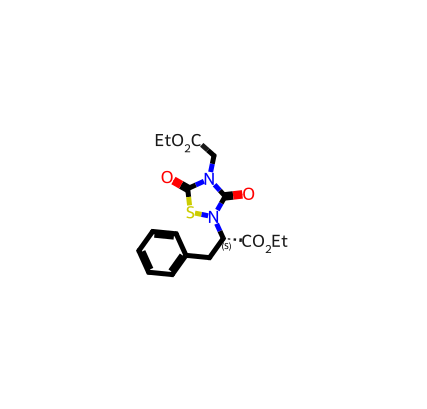 CCOC(=O)Cn1c(=O)sn([C@@H](Cc2ccccc2)C(=O)OCC)c1=O